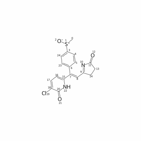 C[S+]([O-])c1ccc(/C(=C\C2=NC(=O)CC2)c2ccc(Cl)c(=O)[nH]2)cc1